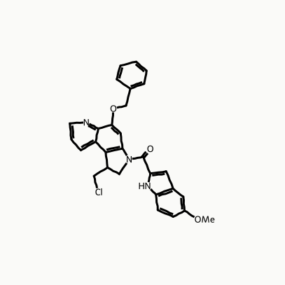 COc1ccc2[nH]c(C(=O)N3CC(CCl)c4c3cc(OCc3ccccc3)c3ncccc43)cc2c1